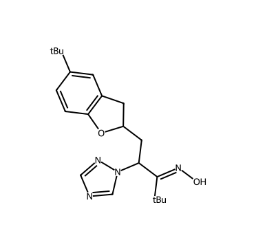 CC(C)(C)C(=NO)C(CC1Cc2cc(C(C)(C)C)ccc2O1)n1cncn1